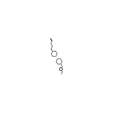 C=CCCC[C@H]1CC[C@H](C2CCC(COCC)CC2)CC1